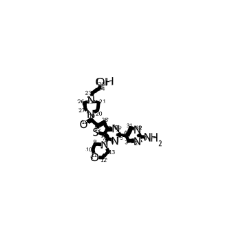 Nc1ncc(-c2nc(N3CCOCC3)c3sc(C(=O)N4CCN(CCO)CC4)cc3n2)cn1